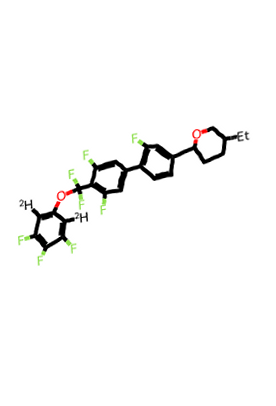 [2H]c1c(F)c(F)c(F)c([2H])c1OC(F)(F)c1c(F)cc(-c2ccc(C3CCC(CC)CO3)cc2F)cc1F